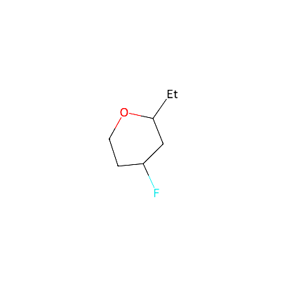 CCC1CC(F)CCO1